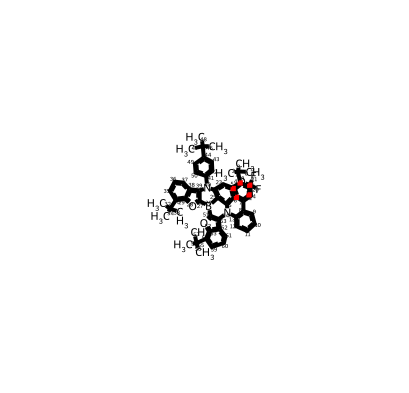 CC(C)(C)c1ccc(-c2ccccc2N2c3cc(OC(F)(F)F)cc4c3B(c3oc5c(C(C)(C)C)cccc5c3N4c3ccc(C(C)(C)C)cc3)c3oc4c(C(C)(C)C)cccc4c32)cc1